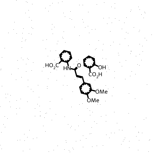 COc1ccc(/C=C/C(=O)Nc2ccccc2C(=O)O)cc1OC.O=C(O)c1ccccc1O